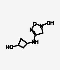 OC1CC(NC2=NON(O)C2)C1